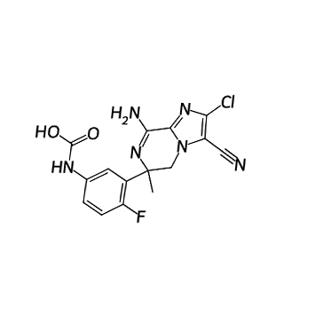 CC1(c2cc(NC(=O)O)ccc2F)Cn2c(nc(Cl)c2C#N)C(N)=N1